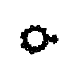 C#CC[C@H]1C(=O)N(C)CC(=O)N[C@@H](CCc2ccc(C(F)(F)F)c(Cl)c2)C(=O)N2CCC[C@H]2C(=O)NC2(CCCC2)C(=O)N(C)[C@@H](C2CCCCC2)C(=O)N(C)[C@H](C(=O)N2CCCCC2)CC(=O)N(C)[C@@H](CC(C)C)C(=O)N[C@@H]([C@@H](C)CC)C(=O)N(C)CC(=O)N(C)CC(=O)N1C